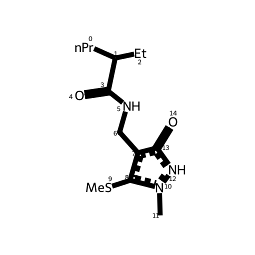 CCCC(CC)C(=O)NCc1c(SC)n(C)[nH]c1=O